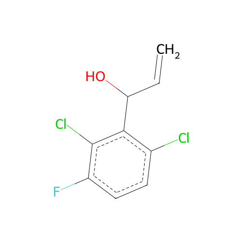 C=CC(O)c1c(Cl)ccc(F)c1Cl